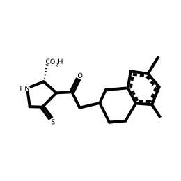 Cc1cc(C)c2c(c1)CC(CC(=O)C1C(=S)CN[C@@H]1C(=O)O)CC2